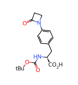 CC(C)(C)OC(=O)N[C@@H](Cc1ccc(N2CCC2=O)cc1)C(=O)O